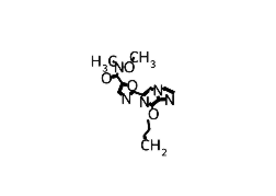 C=CCCOc1nc(-c2ncc(C(=O)N(C)OC)o2)cn2ccnc12